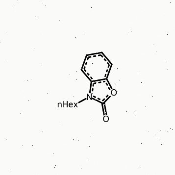 CCCCCCn1c(=O)oc2ccccc21